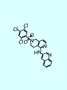 O=S(=O)(c1cc(Cl)c(Cl)cc1Cl)N1CCc2c(ccnc2Nc2cnc3ccccc3c2)C1